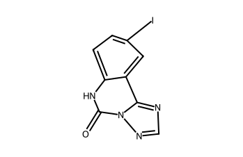 O=c1[nH]c2ccc(I)cc2c2ncnn12